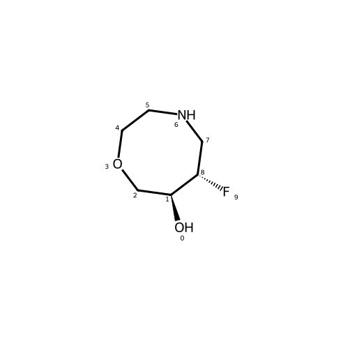 O[C@H]1COCCNC[C@@H]1F